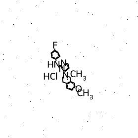 COc1ccc2c(c1)C(C)N(c1ccnc(Nc3ccc(F)cc3)n1)CC2.Cl